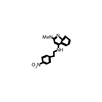 CNc1cc(NCCc2ccc([N+](=O)[O-])cc2)c2ccccc2n1